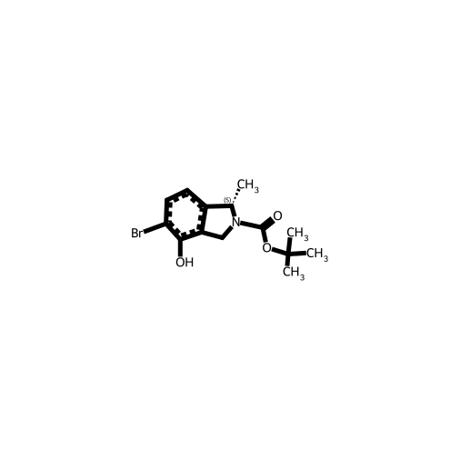 C[C@H]1c2ccc(Br)c(O)c2CN1C(=O)OC(C)(C)C